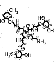 C[C@H]1CC[C@H](O)[C@H](OCCNC(=O)CN(CC(=O)NCCO[C@@H]2O[C@@H](C)CC[C@@H]2O)[C@@H](CCCCN)C(=O)NCCO[C@@H]2O[C@@H](C)CC[C@@H]2O)O1